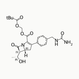 C[C@@H](O)[C@H]1C(=O)N2C(C(=O)OCOC(=O)C(C)(C)C)=C(c3ccc(CNC(N)=O)cc3)C[C@H]12